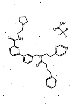 O=C(NCCN1CCCC1)c1cccc(-c2cccc(CN(CCc3ccncc3)C(=O)CCCc3ccccc3)c2)c1.O=C(O)C(F)(F)F